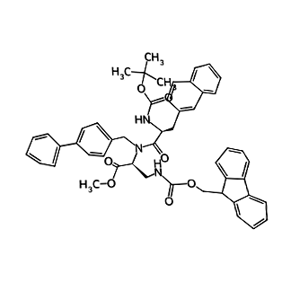 COC(=O)[C@H](CNC(=O)OCC1c2ccccc2-c2ccccc21)N(Cc1ccc(-c2ccccc2)cc1)C(=O)[C@H](Cc1ccc2ccccc2c1)NC(=O)OC(C)(C)C